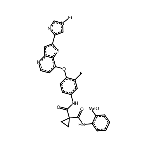 CCn1cnc(-c2cc3nccc(Oc4ccc(NC(=O)C5(C(=O)Nc6ccccc6OC)CC5)cc4F)c3s2)c1